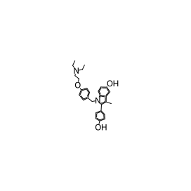 CCN(CC)CCOc1ccc(Cn2c(-c3ccc(O)cc3)c(C)c3cc(O)ccc32)cc1